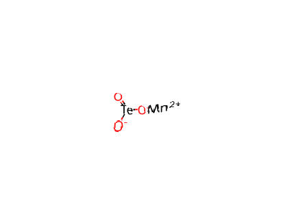 O=[Te]([O-])[O-].[Mn+2]